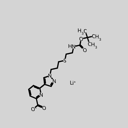 CC(C)(C)OC(=O)NCCSCCCn1cc(-c2cccc(C(=O)[O-])n2)cn1.[Li+]